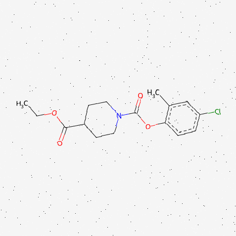 CCOC(=O)C1CCN(C(=O)Oc2ccc(Cl)cc2C)CC1